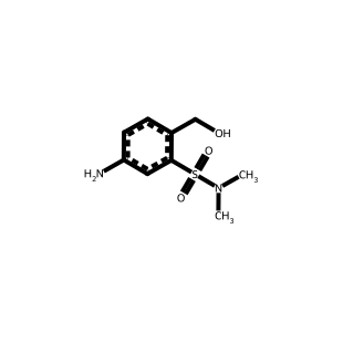 CN(C)S(=O)(=O)c1cc(N)ccc1CO